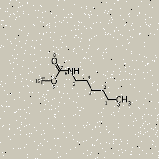 CCCCCCNC(=O)OF